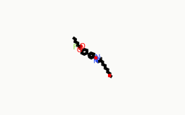 CCCCCCCCCc1cnc(-c2ccc([C@H]3CC[C@H](OC(=O)[C@@H](F)CCCC)CC3)cc2)nc1